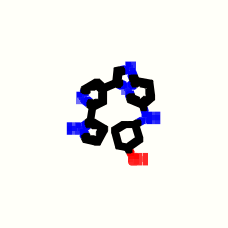 OC1CCCC(Nc2ccc3ncc(-c4ccnc(-c5ccc[nH]5)c4)n3c2)C1